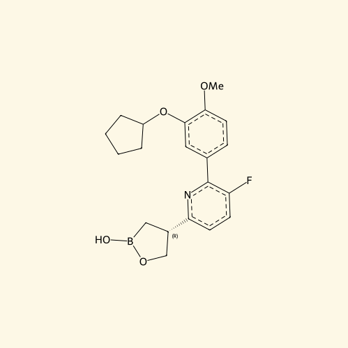 COc1ccc(-c2nc([C@@H]3COB(O)C3)ccc2F)cc1OC1CCCC1